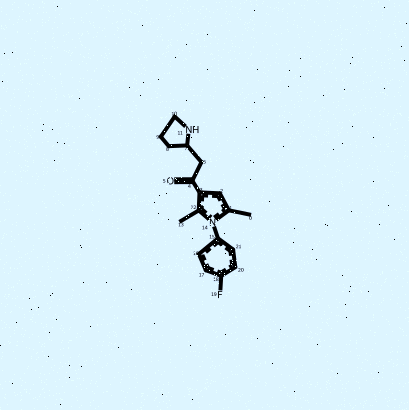 Cc1cc(C(=O)CC2CCCN2)c(C)n1-c1ccc(F)cc1